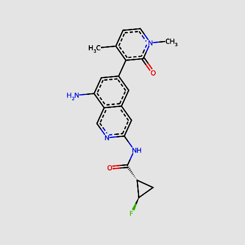 Cc1ccn(C)c(=O)c1-c1cc(N)c2cnc(NC(=O)[C@@H]3C[C@H]3F)cc2c1